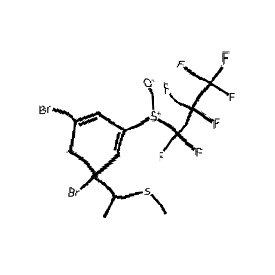 CSC(C)C1(Br)[CH]C(Br)=CC([S+]([O-])C(F)(F)C(F)(F)C(F)(F)F)=C1